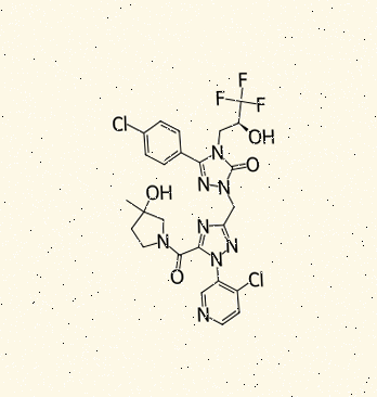 CC1(O)CCN(C(=O)c2nc(Cn3nc(-c4ccc(Cl)cc4)n(C[C@H](O)C(F)(F)F)c3=O)nn2-c2cnccc2Cl)C1